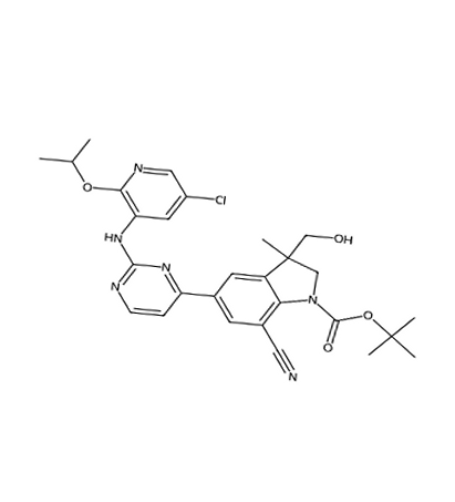 CC(C)Oc1ncc(Cl)cc1Nc1nccc(-c2cc(C#N)c3c(c2)C(C)(CO)CN3C(=O)OC(C)(C)C)n1